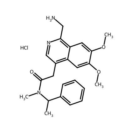 COc1cc2c(CC(=O)N(C)C(C)c3ccccc3)cnc(CN)c2cc1OC.Cl